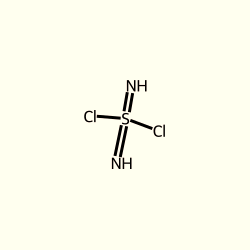 N=S(=N)(Cl)Cl